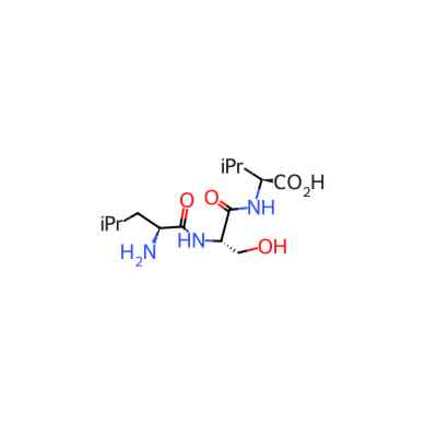 CC(C)C[C@H](N)C(=O)N[C@@H](CO)C(=O)N[C@H](C(=O)O)C(C)C